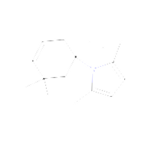 Cc1ccc(C)n1C1(C(=O)O)CC=CC(C)(C(=O)O)C1